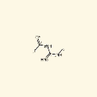 CNC(=N)NC(=O)I